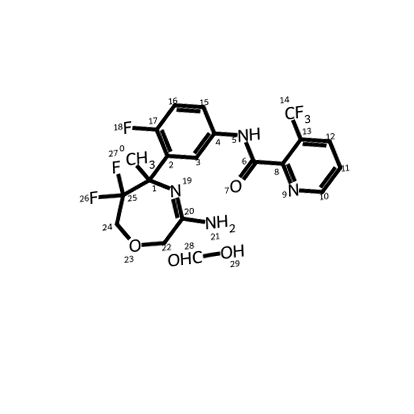 CC1(c2cc(NC(=O)c3ncccc3C(F)(F)F)ccc2F)N=C(N)COCC1(F)F.O=CO